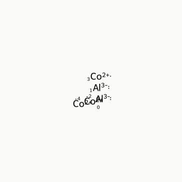 [Al-3].[Al-3].[Co+2].[Co+2].[Co+2]